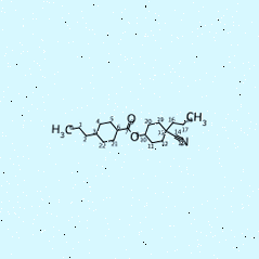 CCCC1CCC(C(=O)OC2CCC(C#N)(CCC)CC2)CC1